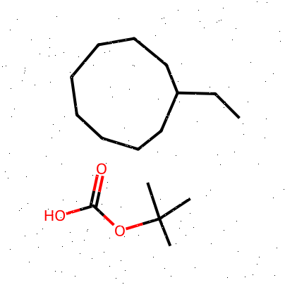 CC(C)(C)OC(=O)O.CCC1CCCCCCCC1